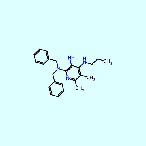 CCCNc1c(C)c(C)nc(N(Cc2ccccc2)Cc2ccccc2)c1N